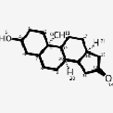 C[C@@]12CCC(O)CC1CC[C@@H]1C3CC(=O)C[C@@H]3CCC12